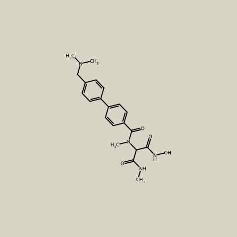 CNC(=O)C(C(=O)NO)N(C)C(=O)c1ccc(-c2ccc(CN(C)C)cc2)cc1